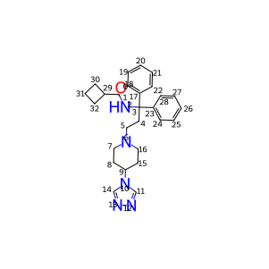 O=C(NC(CCN1CCC(n2cnnc2)CC1)(c1ccccc1)c1ccccc1)C1CCC1